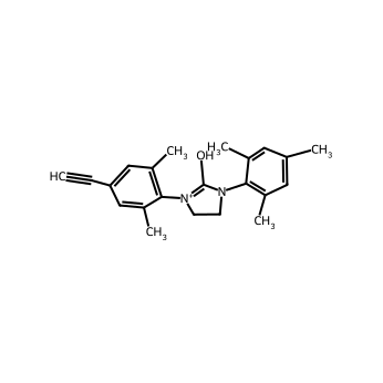 C#Cc1cc(C)c([N+]2=C(O)N(c3c(C)cc(C)cc3C)CC2)c(C)c1